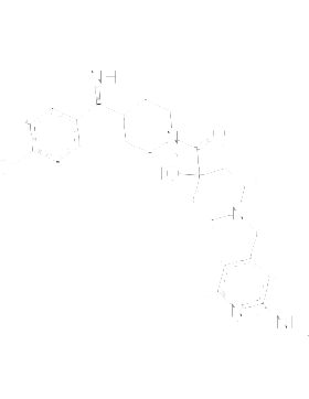 N=C(c1ccc(Cl)cc1)C1CCN(C(=O)C2(O)CCN(Cc3ccnc(N)c3)CC2)CC1